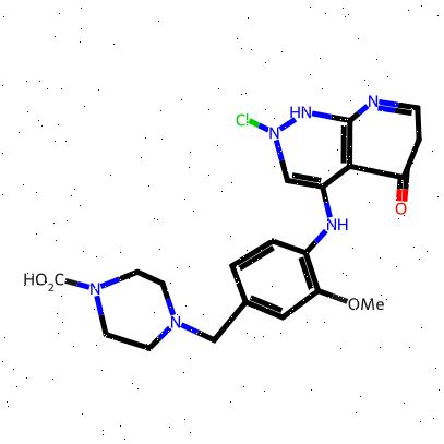 COc1cc(CN2CCN(C(=O)O)CC2)ccc1NC1=CN(Cl)NC2=C1C(=O)CC=N2